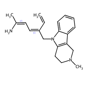 C=C/C(=C\C=C(\C)N)Cn1c2c(c3ccccc31)CN(C)CC2